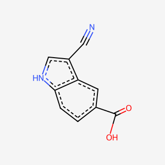 N#Cc1c[nH]c2ccc(C(=O)O)cc12